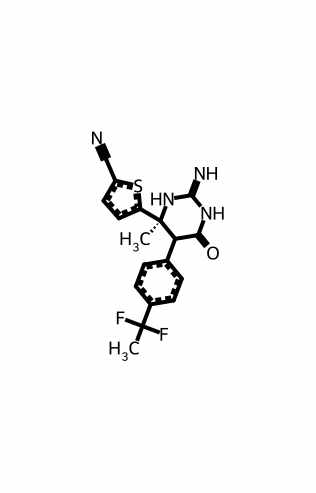 CC(F)(F)c1ccc(C2C(=O)NC(=N)N[C@]2(C)c2ccc(C#N)s2)cc1